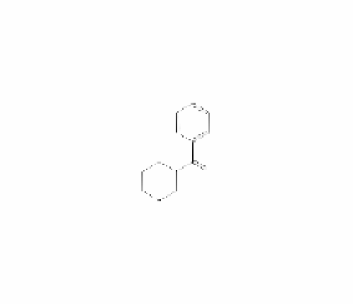 O=C(c1ccccc1)C1C[CH]CCC1